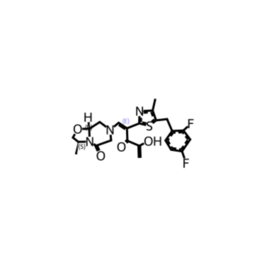 C=C(O)C(=O)/C(=C\N1CC(=O)N2[C@@H](C)CO[C@@H]2C1)c1nc(C)c(Cc2ccc(F)cc2F)s1